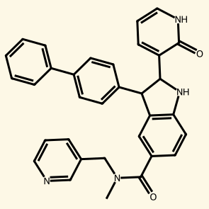 CN(Cc1cccnc1)C(=O)c1ccc2c(c1)C(c1ccc(-c3ccccc3)cc1)C(c1ccc[nH]c1=O)N2